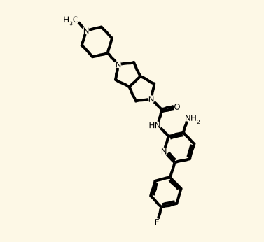 CN1CCC(N2CC3CN(C(=O)Nc4nc(-c5ccc(F)cc5)ccc4N)CC3C2)CC1